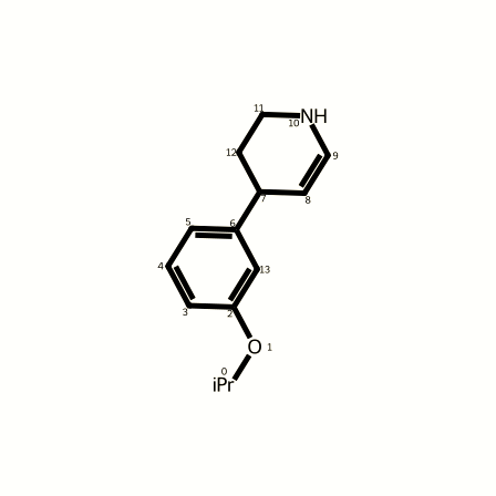 CC(C)Oc1cccc(C2C=CNCC2)c1